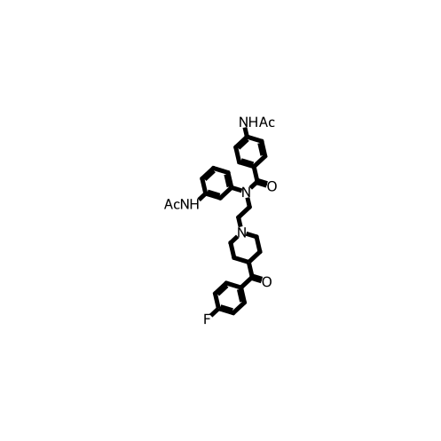 CC(=O)Nc1ccc(C(=O)N(CCN2CCC(C(=O)c3ccc(F)cc3)CC2)c2cccc(NC(C)=O)c2)cc1